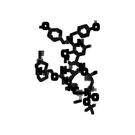 C=[N+]1C[C@@H](CC)N(C(=O)OC(C)(C)C)[C@@H](C)C[C@H](C)Oc2nc(-c3cc(C)nc(N(Cc4ccc(OC)cc4)Cc4ccc(OC)cc4)c3Cl)c(F)c3nc(OC[C@@]45CCCN4C[C@H](F)C5)nc1c23